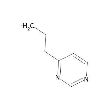 [CH2]CCc1ccncn1